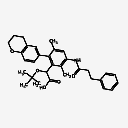 Cc1cc(NC(=O)CCc2ccccc2)c(C)c(C(OC(C)(C)C)C(=O)O)c1-c1ccc2c(c1)CCCO2